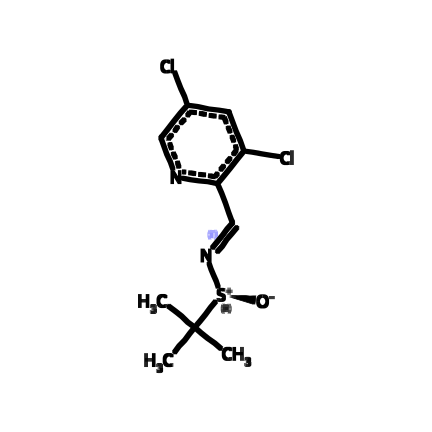 CC(C)(C)[S@+]([O-])/N=C/c1ncc(Cl)cc1Cl